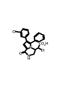 CCC(C(=O)O)C1CNC(=O)c2cc(-c3cccc(Cl)c3)c(-c3ccccc3)n21